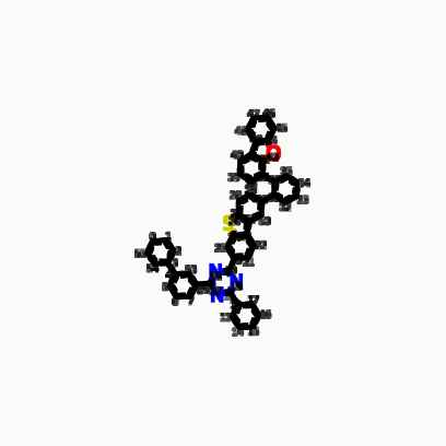 c1ccc(-c2cccc(-c3nc(-c4ccccc4)nc(-c4ccc5c(c4)sc4ccc(-c6ccccc6-c6cccc7c6oc6ccccc67)cc45)n3)c2)cc1